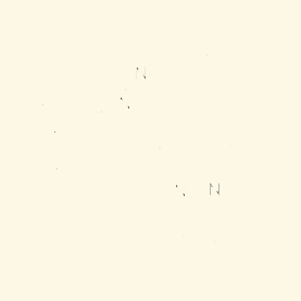 c1ccc(-c2cc(-c3cc(-c4cc(-c5ccccc5)nc(-c5ccccc5)n4)cc(-c4cccc5c4-c4ccccc4C4CC6CC5CC4C6)c3)nc(-c3ccccc3)n2)cc1